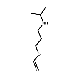 CC(C)NCCCOC=O